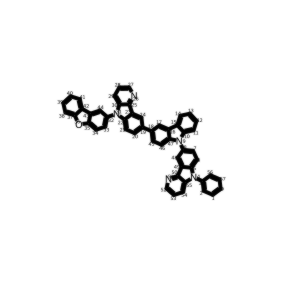 c1ccc(-n2c3ccc(-n4c5ccccc5c5cc(-c6ccc7c(c6)c6ncccc6n7-c6ccc7oc8ccccc8c7c6)ccc54)cc3c3ncccc32)cc1